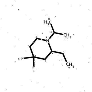 CCC1CC(F)(F)CCN1C(C)C